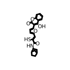 O=C(NC1CC2CCC1C2)/C(S)=C/c1ccc(-c2c(O)c3ccccc3oc2=O)o1